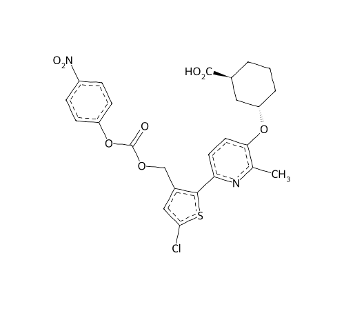 Cc1nc(-c2sc(Cl)cc2COC(=O)Oc2ccc([N+](=O)[O-])cc2)ccc1O[C@H]1CCC[C@H](C(=O)O)C1